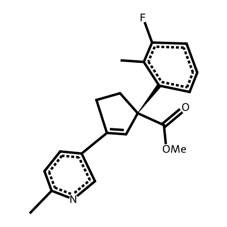 COC(=O)[C@]1(c2cccc(F)c2C)C=C(c2ccc(C)nc2)CC1